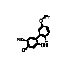 CC(C)Oc1ccc(F)c(-c2cc(C#N)c(Cl)cc2O)c1